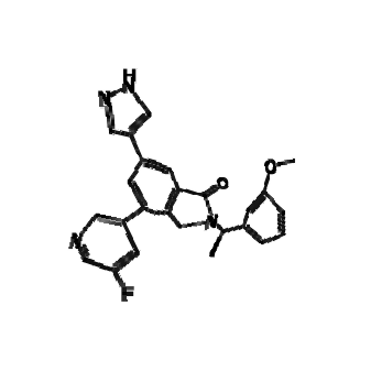 COc1cccc([C@@H](C)N2Cc3c(cc(-c4cn[nH]c4)cc3-c3cncc(F)c3)C2=O)c1